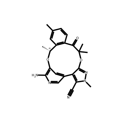 Cc1ccc2c(c1)[C@@H](C)Oc1cc(cnc1N)-c1c(nn(C)c1C#N)OC(C)(C)C2=O